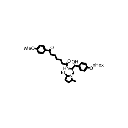 CCCCCCOc1ccc([C@@H](O)[C@@H](CN2C(C)CCC2CC)NC(=O)CCCCCC(=O)c2ccc(OC)cc2)cc1